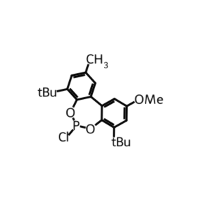 COc1cc(C(C)(C)C)c2op(Cl)oc3c(C(C)(C)C)cc(C)cc3c2c1